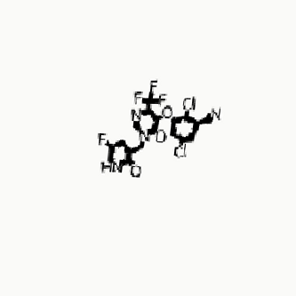 N#Cc1cc(Cl)cc(Oc2c(C(F)(F)F)ncn(Cc3cc(F)c[nH]c3=O)c2=O)c1Cl